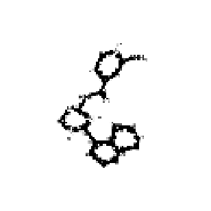 Nc1cc(C(=O)Nc2ncnc(-c3cccc4ccccc34)n2)ccn1